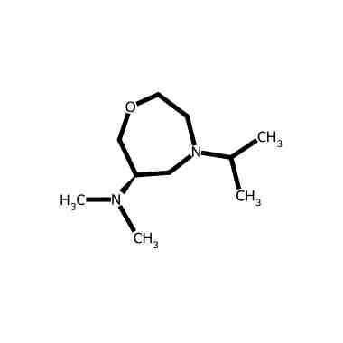 CC(C)N1CCOC[C@H](N(C)C)C1